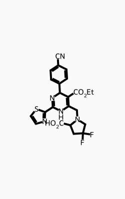 CCOC(=O)C1=C(CN2CC(F)(F)CC2C(=O)O)NC(c2nccs2)=NC1c1ccc(C#N)cc1